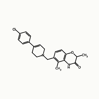 Cc1c(CN2CC=C(c3ccc(Cl)cc3)CC2)ccc2c1NC(=O)C(C)O2